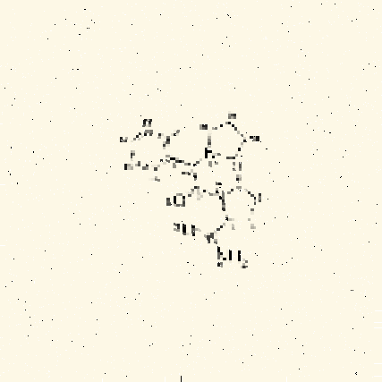 NC(=O)C1CCCN1C(=O)[C@@H](c1ccccc1)N1CCCC1